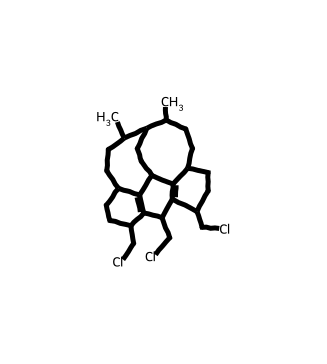 CC1CCC2CCC(CCl)C3=C2C2CCC1C(C)CCC1CCC(CCl)C(=C12)C3CCl